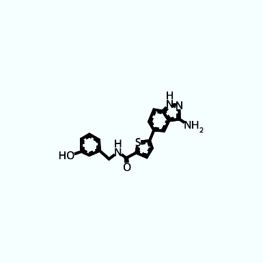 Nc1n[nH]c2ccc(-c3ccc(C(=O)NCc4cccc(O)c4)s3)cc12